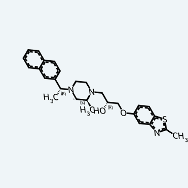 Cc1nc2cc(OC[C@H](O)CN3CCN([C@H](C)c4ccc5ccccc5c4)[CH][C@@H]3C)ccc2s1